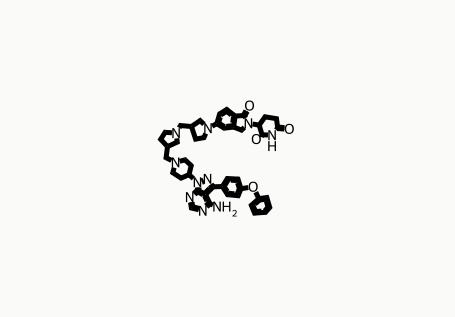 Nc1ncnc2c1c(-c1ccc(Oc3ccccc3)cc1)nn2C1CCN(CC2CCN(CC3CCN(c4ccc5c(c4)CN(C4CCC(=O)NC4=O)C5=O)C3)C2)CC1